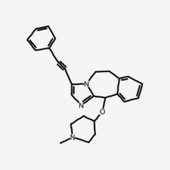 CN1CCC(OC2c3ccccc3CCn3c(C#Cc4ccccc4)cnc32)CC1